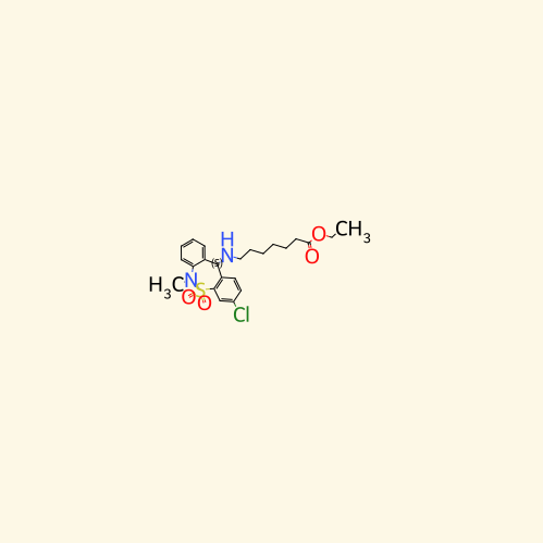 CCOC(=O)CCCCCCN[C@H]1c2ccccc2N(C)S(=O)(=O)c2cc(Cl)ccc21